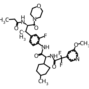 CCC(=O)N[C@@H](C(=O)N1CCOCC1)[C@@H](C)c1ccc(NC(=O)[C@@H](NC(=O)C(F)(F)c2cncc(OC)c2)C2CCC(C)CC2)c(F)c1